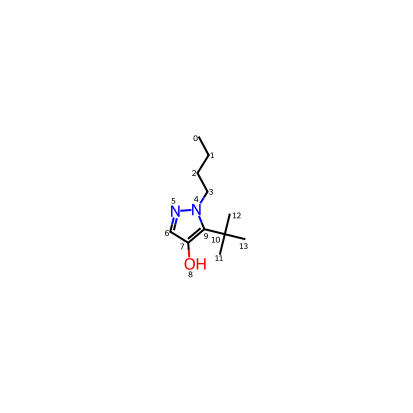 CCCCn1ncc(O)c1C(C)(C)C